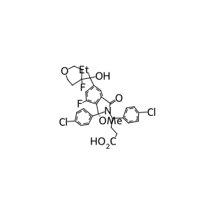 CCC(O)(c1cc(F)c2c(c1)C(=O)N(C(CCC(=O)O)c1ccc(Cl)cc1)[C@@]2(OC)c1ccc(Cl)cc1)C1(F)CCOCC1